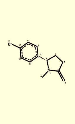 CN1C(=O)CC[C@H]1c1ccc(Br)cc1